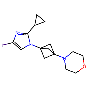 Ic1cn(C23CC(N4CCOCC4)(C2)C3)c(C2CC2)n1